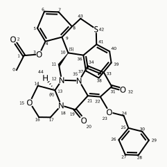 CC(=O)Oc1cccc2c1[C@H](CN1[C@@H]3COCCN3C(=O)c3c(OCc4ccccc4)c(=O)ccn31)c1ccccc1SC2